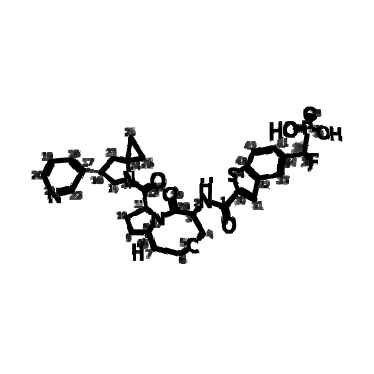 O=C(N[C@H]1CCCC[C@H]2CC[C@@H](C(=O)N3C[C@H](c4cccnc4)CC34CC4)N2C1=O)c1cc2cc([C@H](F)P(=O)(O)O)ccc2s1